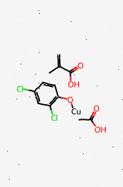 C=C(C)C(=O)O.CC(=O)O.Clc1ccc([O][Cu])c(Cl)c1